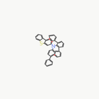 c1ccc(-c2ccc(N(c3ccc4c(c3)sc3ccccc34)c3c(-c4ccccc4)cccc3-c3ccccc3)cc2)cc1